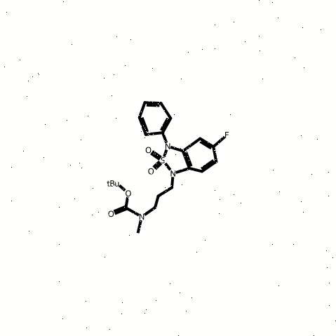 CN(CCCN1c2ccc(F)cc2N(c2ccccc2)S1(=O)=O)C(=O)OC(C)(C)C